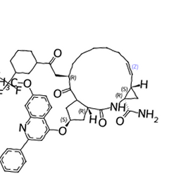 COc1ccc2c(O[C@H]3CC4C(=O)[C@@H](CC(=O)C5CCCC(C(F)(F)F)C5)CCCCC/C=C\[C@@H]5C[C@@]5(C(N)=O)NC(=O)[C@@H]4C3)cc(-c3ccccc3)nc2c1